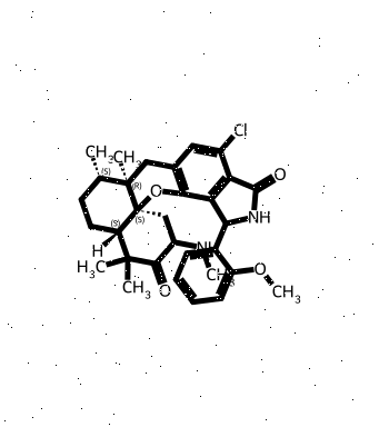 CNC1C[C@@]23Oc4c(cc(Cl)c5c4C(c4ccccc4OC)NC5=O)C[C@]2(C)[C@@H](C)CC[C@H]3C(C)(C)C1=O